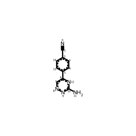 N#Cc1ccc(-c2cnnc(N)n2)cc1